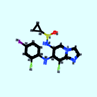 [O-][S+](Nc1cn2ccnc2c(F)c1Nc1ccc(I)cc1F)C1CC1